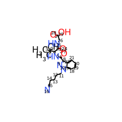 CC(C)(C)[C@H](NC(=O)c1nn(CCCCC#N)c2ccccc12)C(=O)NCC(=O)O